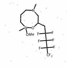 CO[Si]1(C)CCCN(C)CC(CC(F)(F)C(F)(F)C(F)(F)C(F)(F)F)O1